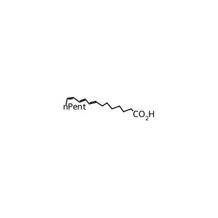 CCCCC/C=C\C=C\C=CCCCCCCC(=O)O